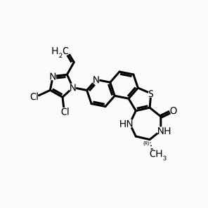 C=Cc1nc(Cl)c(Cl)n1-c1ccc2c(ccc3sc4c(c32)NC[C@@H](C)NC4=O)n1